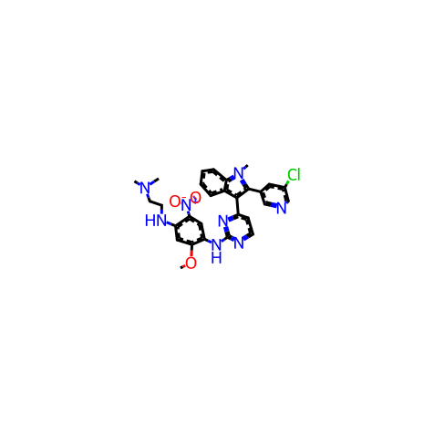 COc1cc(NCCN(C)C)c([N+](=O)[O-])cc1Nc1nccc(-c2c(-c3cncc(Cl)c3)n(C)c3ccccc23)n1